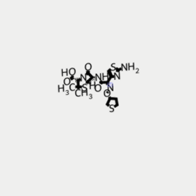 CC1(C)S[C@@H]2[C@@H](NC(=O)/C(=N\OC3CCSC3)c3csc(N)n3)C(=O)N2[C@H]1C(=O)O